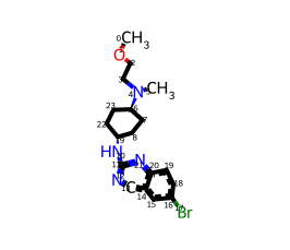 COCCN(C)[C@H]1CC[C@H](Nc2ncc3cc(Br)ccc3n2)CC1